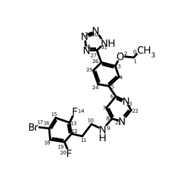 CCOc1cc(-c2cc(NCCc3c(F)cc(Br)cc3F)ncn2)ccc1-c1nnn[nH]1